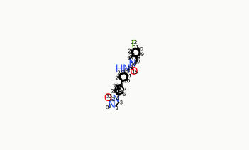 CN1CCN(C23CCC(c4ccc(NC(=O)N5Cc6ccc(F)cc6C5)cc4)(CC2)CC3)C1=O